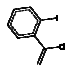 C=C(Cl)c1ccccc1I